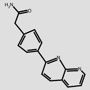 NC(=O)Cc1ccc(-c2ccc3cccnc3n2)cc1